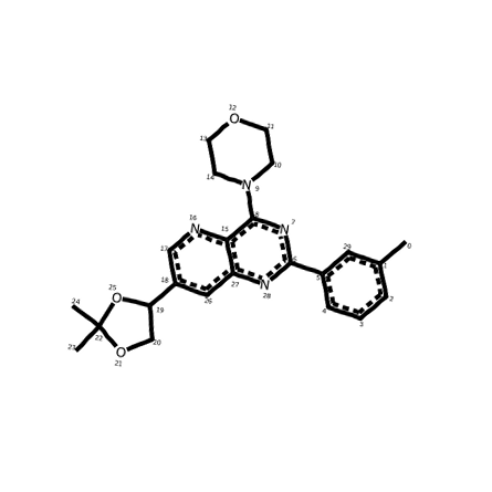 Cc1cccc(-c2nc(N3CCOCC3)c3ncc(C4COC(C)(C)O4)cc3n2)c1